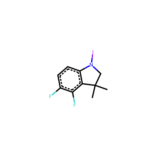 CC1(C)CN(I)c2ccc(F)c(F)c21